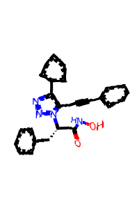 O=C(NO)[C@H](Cc1ccccc1)n1nnc(-c2ccccc2)c1C#Cc1ccccc1